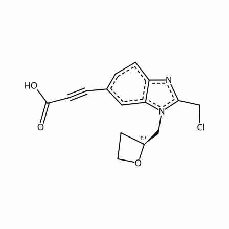 O=C(O)C#Cc1ccc2nc(CCl)n(C[C@@H]3CCO3)c2c1